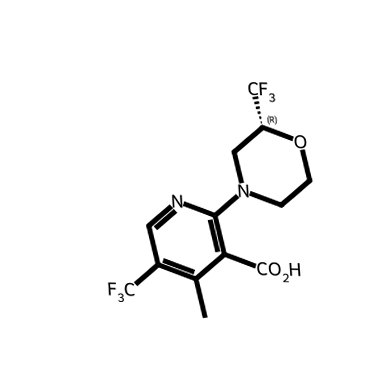 Cc1c(C(F)(F)F)cnc(N2CCO[C@@H](C(F)(F)F)C2)c1C(=O)O